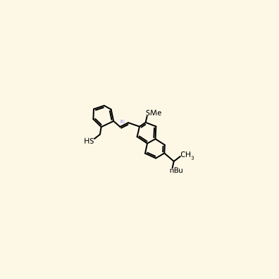 CCCCC(C)c1ccc2cc(/C=C/c3ccccc3CS)c(SC)cc2c1